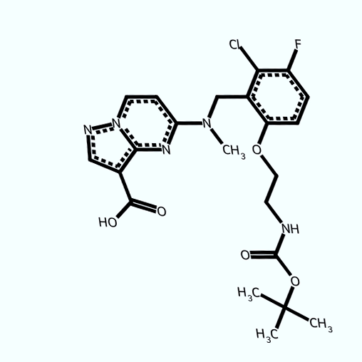 CN(Cc1c(OCCNC(=O)OC(C)(C)C)ccc(F)c1Cl)c1ccn2ncc(C(=O)O)c2n1